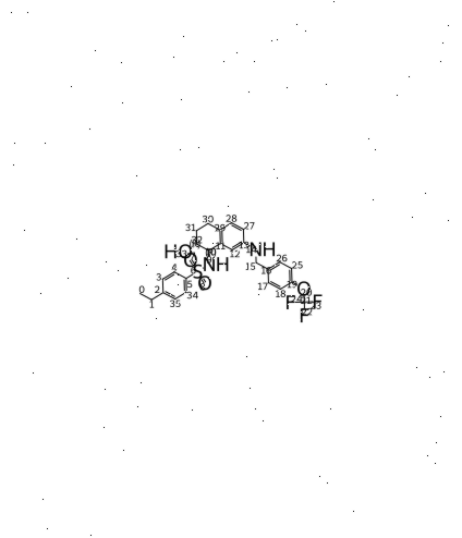 CCc1ccc(S(=O)(=O)N[C@@H]2c3cc(NCc4ccc(OC(F)(F)F)cc4)ccc3CC[C@H]2O)cc1